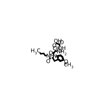 CCCCNC(=O)[C@H]1Cc2cc(OC)ccc2N1C(=O)[C@H](C)N.O=C(O)C(=O)O